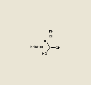 OB(O)O.[KH].[KH].[KH].[KH].[KH]